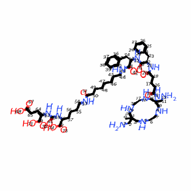 CC1(CN)CNCCNCC(CN)(NC(=O)CCCC(=O)N[C@H](Cc2ccccc2)C(=O)N[C@H](Cc2ccccc2)C(=O)NCCCCCCCC(=O)NCCCCC(NC(=O)NC(CCC(=O)O)C(=O)O)C(=O)O)CNCCNC1